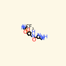 Cn1ncc(S(=O)(=O)c2ccc(CNC(=O)c3cnc4[nH]ncc4c3)cc2)c1C(F)(F)F